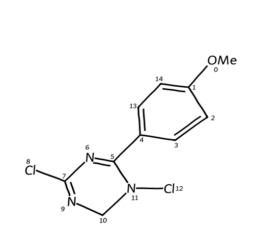 COc1ccc(C2=NC(Cl)=NCN2Cl)cc1